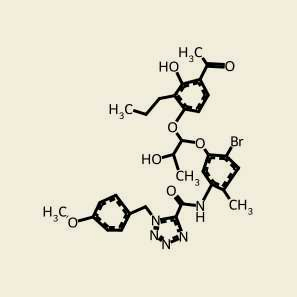 CCCc1c(OC(Oc2cc(NC(=O)c3nnnn3Cc3ccc(OC)cc3)c(C)cc2Br)C(C)O)ccc(C(C)=O)c1O